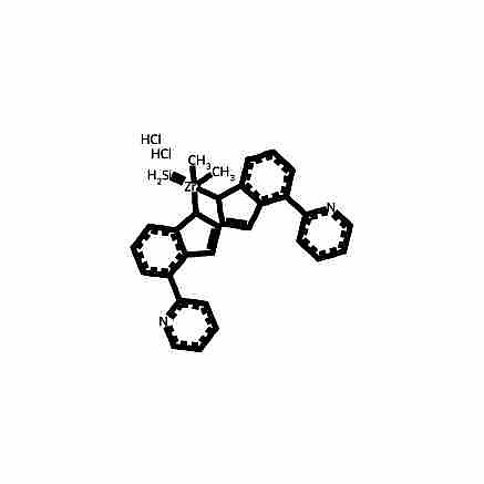 Cl.Cl.[CH3][Zr]([CH3])(=[SiH2])([CH]1C=Cc2c(-c3ccccn3)cccc21)[CH]1C=Cc2c(-c3ccccn3)cccc21